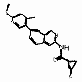 CSc1cc(C)c(-c2ccc3cc(NC(=O)C4CC4F)ncc3c2)cn1